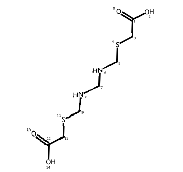 O=C(O)CSCNCNCSCC(=O)O